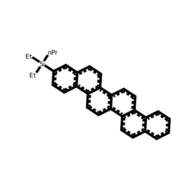 CCC[Si](CC)(CC)c1ccc2c(ccc3c2ccc2c4ccc5ccccc5c4ccc32)c1